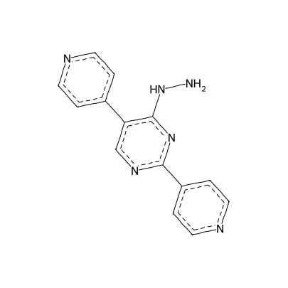 NNc1nc(-c2ccncc2)ncc1-c1ccncc1